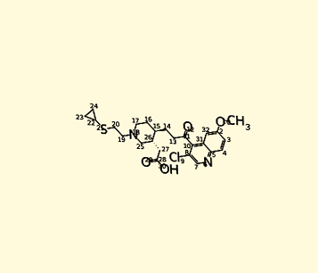 COc1ccc2ncc(Cl)c(C(=O)CC[C@@H]3CCN(CCSC4CC4)C[C@H]3CC(=O)O)c2c1